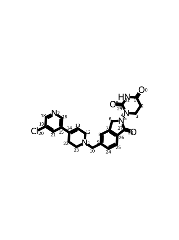 O=C1CCN(N2Cc3cc(CN4CC=C(c5cncc(Cl)c5)CC4)ccc3C2=O)C(=O)N1